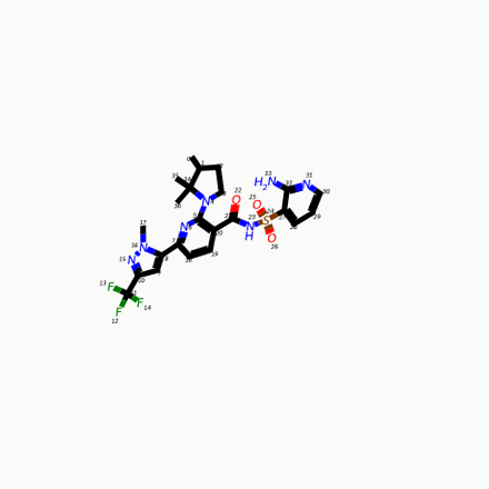 CC1CCN(c2nc(-c3cc(C(F)(F)F)nn3C)ccc2C(=O)NS(=O)(=O)c2cccnc2N)C1(C)C